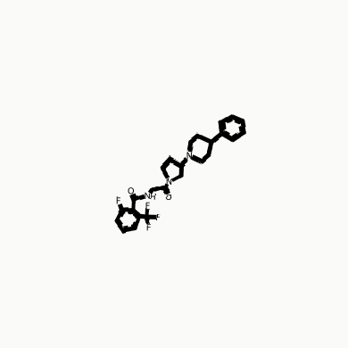 O=C(NCC(=O)N1CCC(N2CCC(c3ccccc3)CC2)C1)c1c(F)cccc1C(F)(F)F